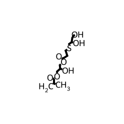 C=C(C)C(=O)OCC(O)COC(=O)CCSCC(O)CO